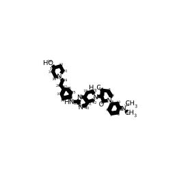 Cc1ccn(-c2cccc(N(C)C)c2)c(=O)c1N1CCc2nc(Nc3ccc(CCN4CCC(O)CC4)cc3)ncc2C1